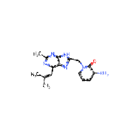 CC(C)=Cc1nc(C)nc2[nH]c(Cn3cccc(N)c3=O)nc12